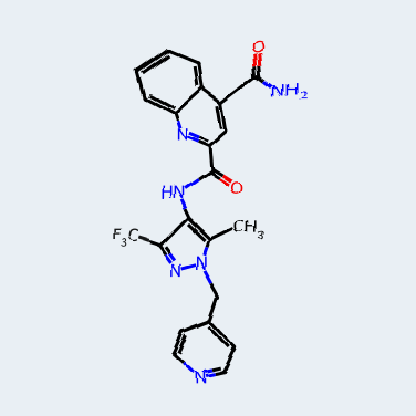 Cc1c(NC(=O)c2cc(C(N)=O)c3ccccc3n2)c(C(F)(F)F)nn1Cc1ccncc1